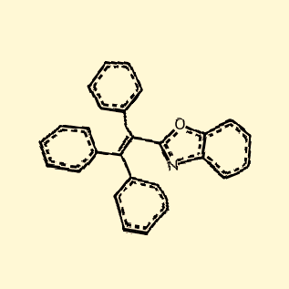 c1ccc(C(=C(c2ccccc2)c2nc3ccccc3o2)c2ccccc2)cc1